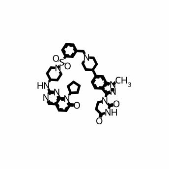 Cn1nc(N2CCC(=O)NC2=O)c2ccc(C3CCN(Cc4cccc(S(=O)(=O)N5CCC(Nc6ncc7ccc(=O)n(C8CCCC8)c7n6)CC5)c4)CC3)cc21